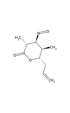 C=CC[C@@H]1OC(=O)[C@H](C)[C@@H](N=O)[C@H]1C